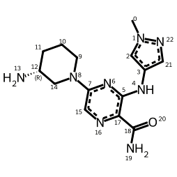 Cn1cc(Nc2nc(N3CCC[C@@H](N)C3)cnc2C(N)=O)cn1